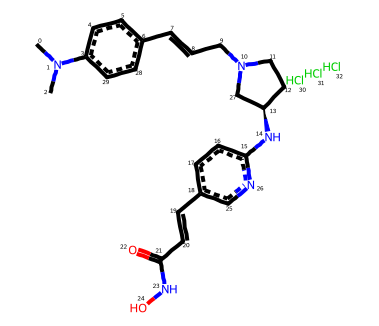 CN(C)c1ccc(/C=C/CN2CC[C@@H](Nc3ccc(/C=C/C(=O)NO)cn3)C2)cc1.Cl.Cl.Cl